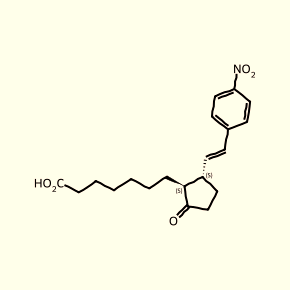 O=C(O)CCCCCC[C@@H]1C(=O)CC[C@H]1C=Cc1ccc([N+](=O)[O-])cc1